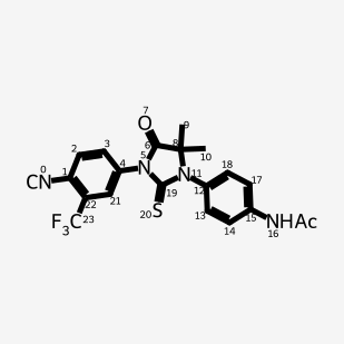 [C-]#[N+]c1ccc(N2C(=O)C(C)(C)N(c3ccc(NC(C)=O)cc3)C2=S)cc1C(F)(F)F